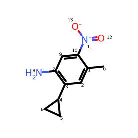 Cc1cc(C2CC2)c(N)cc1[N+](=O)[O-]